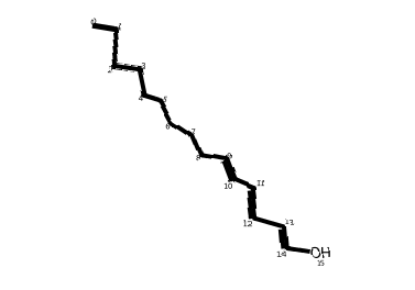 CCCCCCCCCC=CC=CC=CO